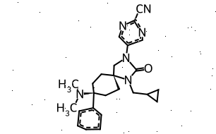 CN(C)[C@]1(c2ccccc2)CC[C@@]2(CC1)CN(c1cnc(C#N)nc1)C(=O)N2CC1CC1